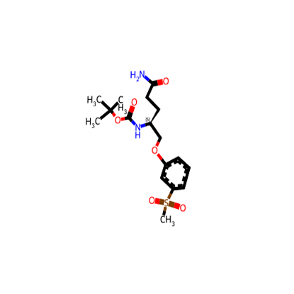 CC(C)(C)OC(=O)N[C@@H](CCC(N)=O)COc1cccc(S(C)(=O)=O)c1